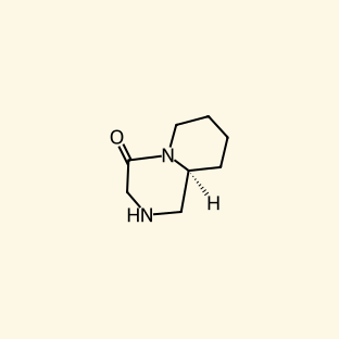 O=C1CNC[C@@H]2CCCCN12